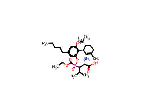 C=C(C)[C@@H]1CCC(C)=C[C@H]1c1c(O)cc(CCCCC)cc1OP(=O)(C(=O)OCC)C(C(C)C)[C@H](N)C(=O)O